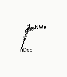 CCCCCCCCCCCCCCCCSCCCO[PH3]OOCCNC